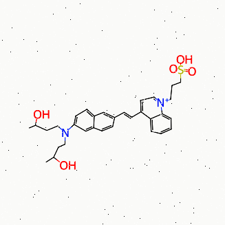 CC(O)CCN(CCC(C)O)c1ccc2cc(/C=C/c3cc[n+](CCCS(=O)(=O)O)c4ccccc34)ccc2c1